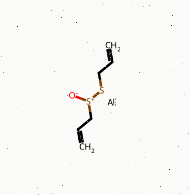 C=CCS[S+]([O-])CC=C.[Al]